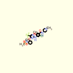 COc1cc(C(=O)NC2CCN(C)CC2)c(Cl)cc1Nc1ncc(C(F)(F)F)c(O[C@@H]2CCCC[C@H]2N(C)S(C)(=O)=O)n1